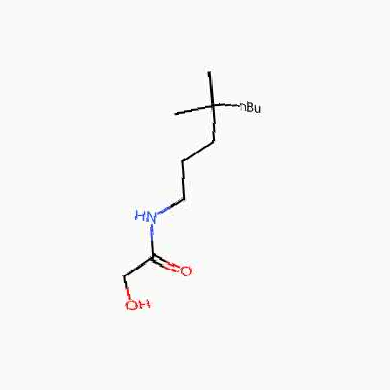 CCCCC(C)(C)CCCNC(=O)CO